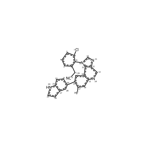 N#CCc1cccc(Cl)c1-n1cnc2cnc3cc(F)c(-c4ccc5[nH]ccc5c4)cc3c21